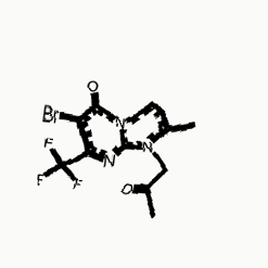 CC(=O)Cn1c(C)cn2c(=O)c(Br)c(C(F)(F)F)nc12